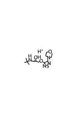 CC(C)(C)NC[C@H](O)COc1nsnc1N1CCOCC1.[H+]